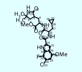 COC(=O)C(CC1CC(C)(C)NC1=O)NC(=O)C(CC1CC1)NC(=O)c1cc2c(OC)cc(Cl)c(F)c2[nH]1